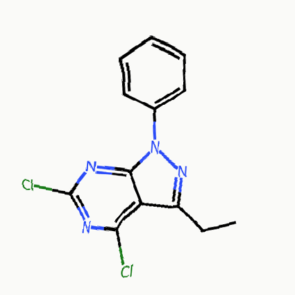 CCc1nn(-c2ccccc2)c2nc(Cl)nc(Cl)c12